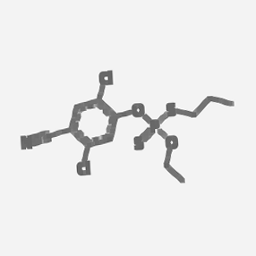 CCCSP(=S)(OCC)Oc1cc(Cl)c(C#N)cc1Cl